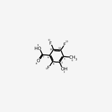 Cc1c(O)c(F)c(C(=O)O)c(F)c1F